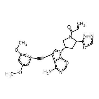 C=CC(=O)N1C[C@H](n2cc(C#Cc3cc(OC)cc(OC)c3)c3c(N)ncnc32)C[C@@H]1c1nnco1